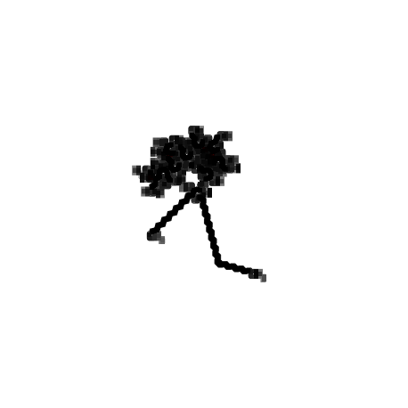 CCCCCCCC/C=C\CCCCCCCCCCCCCCCC(=O)N[C@@H](CO[C@@H]1OC(CO)[C@@H](O[C@@H]2OC(CO)[C@H](O)[C@H](O[C@@H]3OC(CO)[C@@H](O[C@@H]4OC(CO)[C@H](O)[C@H](O[C@@H]5OC(CO)[C@@H](O[C@H]6OC(C)[C@@H](O)C(O)[C@@H]6O)[C@H](O[C@@H]6OC(CO)[C@H](O)[C@H](O[C@]7(C(=O)O)CC(O)[C@@H](NC(C)=O)C([C@H](O)[C@H](O)CO)O7)C6O)C5NC(C)=O)C4O)[C@H](O)C3NC(C)=O)C2O)[C@H](O)C1O)[C@H](O)/C=C/CCCCCCCCCCCCC